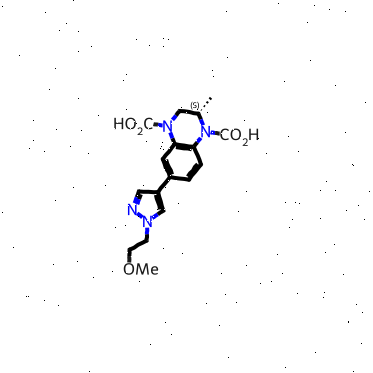 COCCn1cc(-c2ccc3c(c2)N(C(=O)O)C[C@H](C)N3C(=O)O)cn1